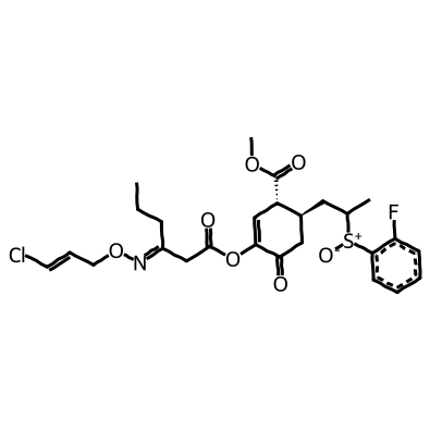 CCC/C(CC(=O)OC1=C[C@H](C(=O)OC)[C@@H](CC(C)[S+]([O-])c2ccccc2F)CC1=O)=N\OC/C=C/Cl